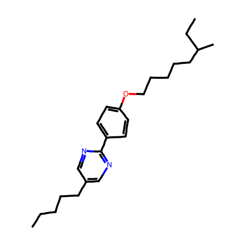 CCCCCc1cnc(-c2ccc(OCCCCCC(C)CC)cc2)nc1